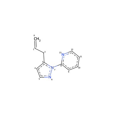 C=CCc1ccnn1-c1ccccn1